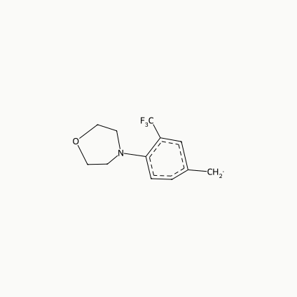 [CH2]c1ccc(N2CCOCC2)c(C(F)(F)F)c1